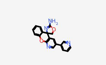 NC1=NC2(CO1)c1ccccc1Oc1ncc(-c3cccnc3)cc12